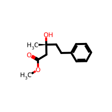 COC(=O)C[C@](C)(O)CCc1ccccc1